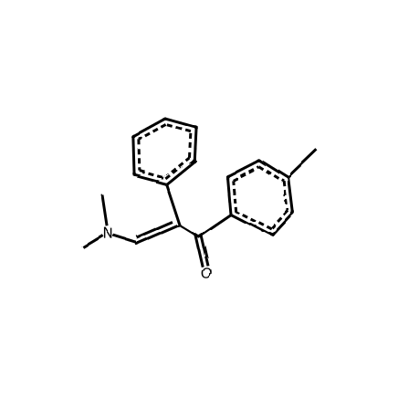 Cc1ccc(C(=O)/C(=C/N(C)C)c2ccccc2)cc1